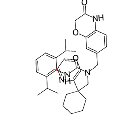 CC(C)c1cccc(C(C)C)c1NC(=O)N(Cc1ccc2c(c1)OCC(=O)N2)CC1(c2ccccn2)CCCCC1